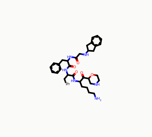 CC(C)CC(NC(=O)C(Cc1ccccc1)NC(=O)CNC1Cc2ccccc2C1)C(=O)NC(CCCCN)C(=O)C1CNCCO1